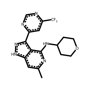 Cc1cc2[nH]nc(-c3cc(C(F)(F)F)ncn3)c2c(NC2CCOCC2)n1